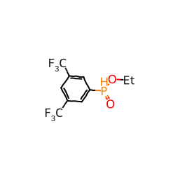 CCO[PH](=O)c1cc(C(F)(F)F)cc(C(F)(F)F)c1